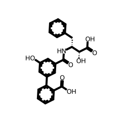 O=C(N[C@H](Cc1ccccc1)[C@@H](O)C(=O)O)c1cc(O)cc(-c2ccccc2C(=O)O)c1